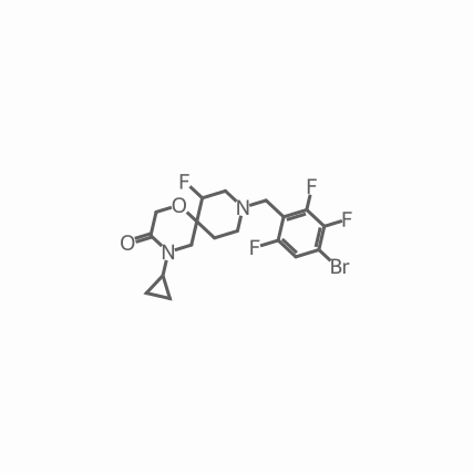 O=C1COC2(CCN(Cc3c(F)cc(Br)c(F)c3F)CC2F)CN1C1CC1